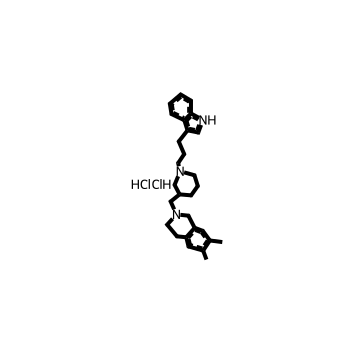 Cc1cc2c(cc1C)CN(CC1CCCN(CCCc3c[nH]c4ccccc34)C1)CC2.Cl.Cl